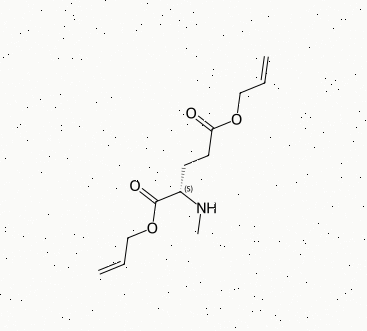 C=CCOC(=O)CC[C@H](NC)C(=O)OCC=C